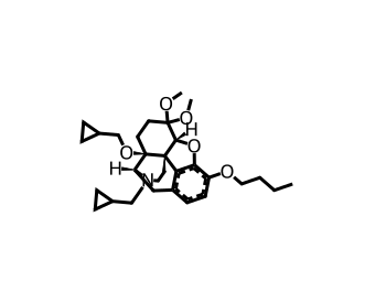 CCCCOc1ccc2c3c1O[C@H]1C(OC)(OC)CC[C@@]4(OCC5CC5)[C@@H](C2)N(CC2CC2)CC[C@]314